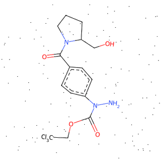 NN(C(=O)OCC(Cl)(Cl)Cl)c1ccc(C(=O)N2CCCC2CO)cc1